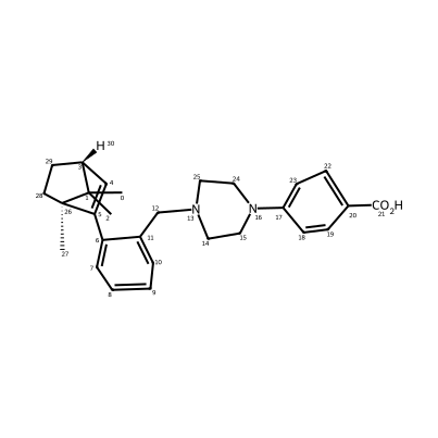 CC1(C)[C@H]2C=C(c3ccccc3CN3CCN(c4ccc(C(=O)O)cc4)CC3)[C@@]1(C)CC2